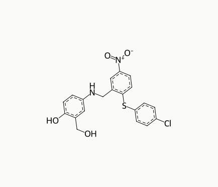 O=[N+]([O-])c1ccc(Sc2ccc(Cl)cc2)c(CNc2ccc(O)c(CO)c2)c1